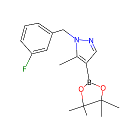 Cc1c(B2OC(C)(C)C(C)(C)O2)cnn1Cc1cccc(F)c1